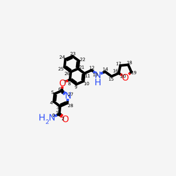 NC(=O)c1ccc(Oc2ccc(CNCCC3CCCO3)c3ccccc23)nc1